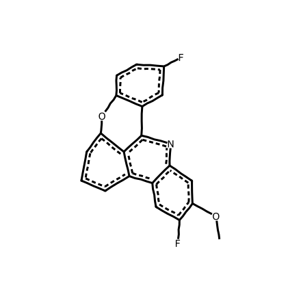 COc1cc2nc3c4c(cccc4c2cc1F)Oc1ccc(F)cc1-3